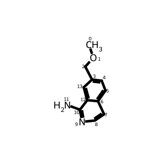 COCc1ccc2ccnc(N)c2c1